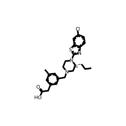 CCC[C@@H]1CN(Cc2cc(C)cc(CC(=O)O)c2)CCN1c1nc2ccc(Cl)cc2s1